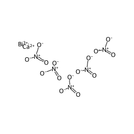 O=[N+]([O-])[O-].O=[N+]([O-])[O-].O=[N+]([O-])[O-].O=[N+]([O-])[O-].O=[N+]([O-])[O-].[Bi+3].[Ca+2]